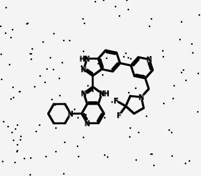 FC1(F)CCN(Cc2cncc(-c3ccc4[nH]nc(-c5nc6c(N7CCCCC7)nccc6[nH]5)c4c3)c2)C1